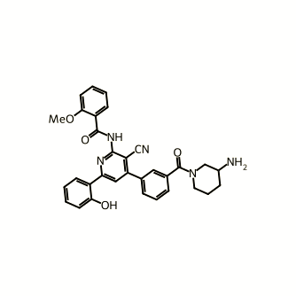 COc1ccccc1C(=O)Nc1nc(-c2ccccc2O)cc(-c2cccc(C(=O)N3CCCC(N)C3)c2)c1C#N